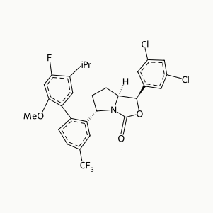 COc1cc(F)c(C(C)C)cc1-c1ccc(C(F)(F)F)cc1[C@@H]1CC[C@H]2[C@@H](c3cc(Cl)cc(Cl)c3)OC(=O)N12